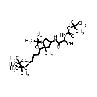 CC(NC(=O)OC(C)(C)C)C(=O)NC1CN(C(C)(C)C)C(C)(CCCCB2OC(C)(C)C(C)(C)O2)C1